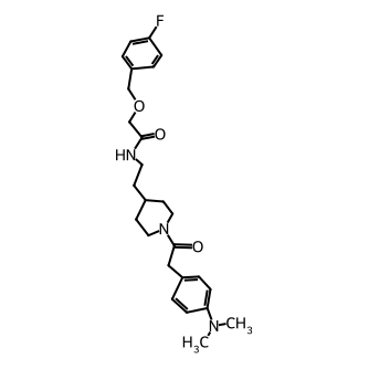 CN(C)c1ccc(CC(=O)N2CCC(CCNC(=O)COCc3ccc(F)cc3)CC2)cc1